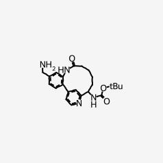 CC(C)(C)OC(=O)NC1CCCCC(=O)Nc2cc(CN)ccc2-c2ccnc1c2